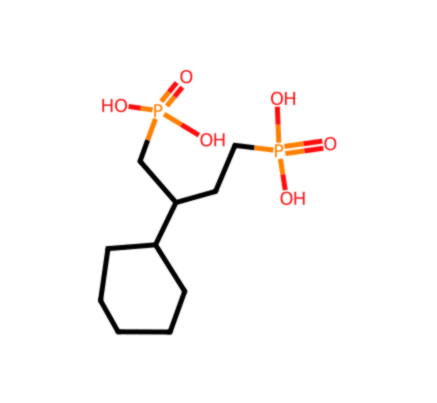 O=P(O)(O)CCC(CP(=O)(O)O)C1CCCCC1